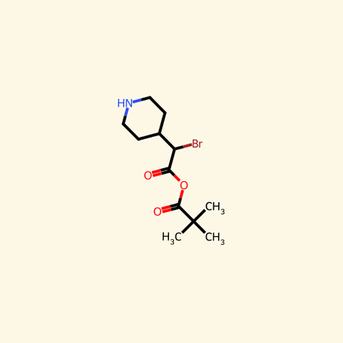 CC(C)(C)C(=O)OC(=O)C(Br)C1CCNCC1